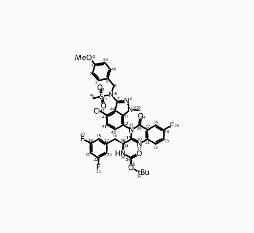 COc1ccc(CN(c2nn(C)c3c(-n4c([C@H](Cc5cc(F)cc(F)c5)NC(=O)OC(C)(C)C)nc5ccc(F)cc5c4=O)ccc(Cl)c23)S(C)(=O)=O)cc1